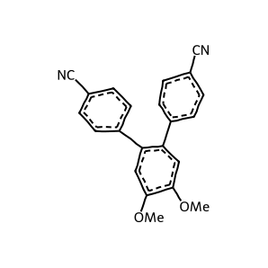 COc1cc(-c2ccc(C#N)cc2)c(-c2ccc(C#N)cc2)cc1OC